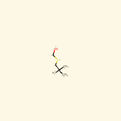 CC(C)(C)CSCO